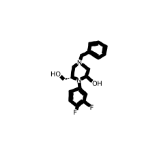 OC[C@@H]1CN(Cc2ccccc2)CC(O)N1c1ccc(F)c(F)c1